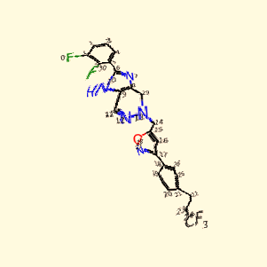 Fc1cccc(-c2nc3c([nH]2)C=NN(Cc2cc(-c4ccc(CCC(F)(F)F)cc4)no2)C3)c1F